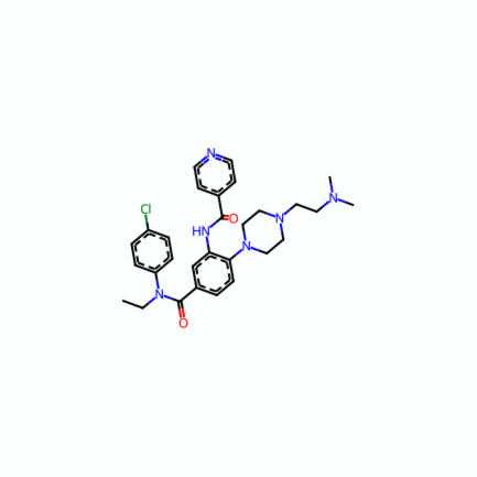 CCN(C(=O)c1ccc(N2CCN(CCN(C)C)CC2)c(NC(=O)c2ccncc2)c1)c1ccc(Cl)cc1